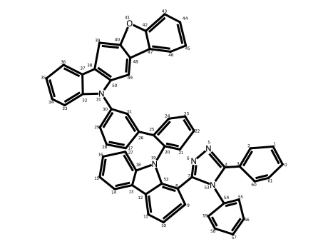 c1ccc(-c2nnc(-c3cccc4c5ccccc5n(-c5ccccc5-c5cccc(-n6c7ccccc7c7cc8oc9ccccc9c8cc76)c5)c34)n2-c2ccccc2)cc1